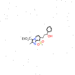 CCOC(=O)c1c(C)nc2c(S(C)(=O)=O)c(CCC(O)c3ccccc3)ccn12